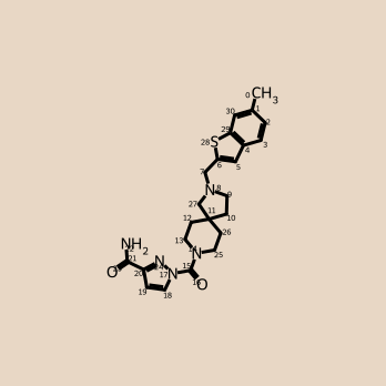 Cc1ccc2cc(CN3CCC4(CCN(C(=O)n5ccc(C(N)=O)n5)CC4)C3)sc2c1